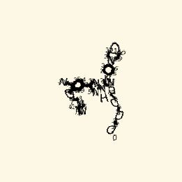 COCCOCCOCCOc1nn([C@H]2CC[C@H](N3CCOCC3)CC2)cc1Nc1ncc(-c2ccc(C#N)c(O[C@@H](C)Cn3cncn3)c2)cn1